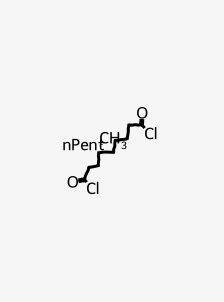 CCCCCC.O=C(Cl)CCCCCCCC(=O)Cl